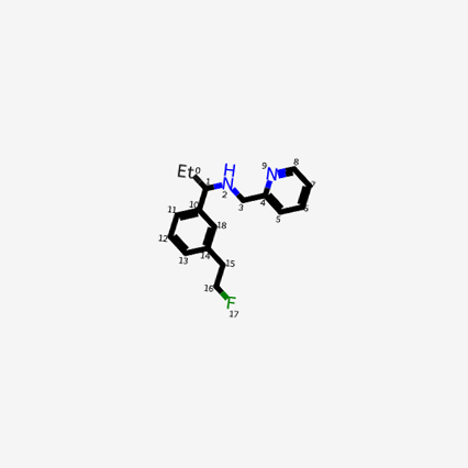 CCC(NCc1ccccn1)c1cccc(CCF)c1